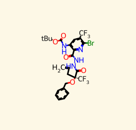 C=CC[C@](OCc1ccccc1)(C(=O)NNC(=O)c1nc(Br)c(C(F)(F)F)cc1NC(=O)OC(C)(C)C)C(F)(F)F